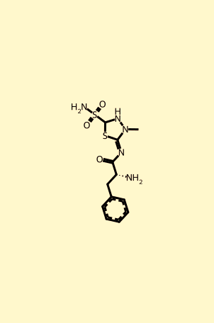 CN1NC(S(N)(=O)=O)SC1=NC(=O)[C@H](N)Cc1ccccc1